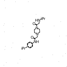 CC(C)NCC(=O)N1CCN(CC(=O)Nc2ccc(C(C)C)cc2)CC1